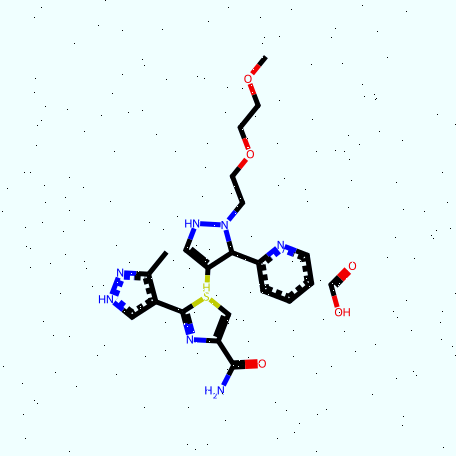 COCCOCCN1NC=C([SH]2C=C(C(N)=O)N=C2c2c[nH]nc2C)C1c1ccccn1.O=CO